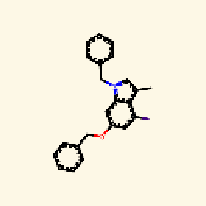 Cc1cn(Cc2ccccc2)c2cc(OCc3ccccc3)cc(I)c12